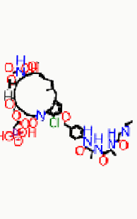 C/C=N/CC(=O)NC(C)C(=O)NC(C)C(=O)Nc1ccc(COc2cc3cc(c2Cl)N(C)C(=O)C[C@H](OC(=O)CP(=O)(O)O)[C@]2(C)O[C@H]2[C@H](C)[C@@H]2C[C@@](O)(NC(=O)O2)[C@H](OC)/C=C/C=C(\C)C3)cc1